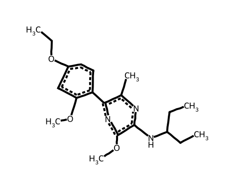 CCOc1ccc(-c2nc(OC)c(NC(CC)CC)nc2C)c(OC)c1